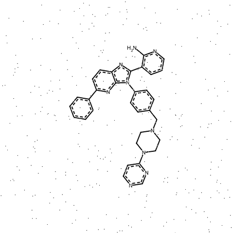 Nc1ncccc1-c1nc2ccc(-c3ccccc3)nc2n1-c1ccc(CN2CCN(c3ccncn3)CC2)cc1